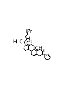 CC(C)CCC[C@@H](C)[C@H]1CCC2C3CC=C4CC(P5C=CCC5)CC[C@]4(C)C3CC[C@@]21C